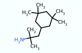 [CH2]C(C)(N)CC1CC(C)(C)CC(C)(C)C1